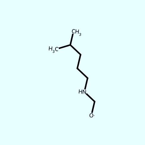 CC(C)CCCNC[O]